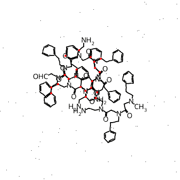 CN(CCc1ccccc1)CC(=O)N(CCc1ccccc1)CC(=O)N(CCN)CC(=O)N(CCc1ccccc1)CC(=O)N(CCc1ccccc1)CC(=O)N(CCN)CC(=O)N(CCc1ccccc1)CC(=O)N(CCc1ccccc1)CC(=O)N(CCN)CC(=O)N(CCc1ccccc1)CC(=O)N(CCc1ccccc1)CC(=O)N(CCN)CC(=O)N(CCc1ccccc1)CC(=O)N(CC=O)CCc1ccccc1